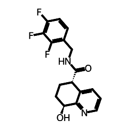 O=C(NCc1ccc(F)c(F)c1F)[C@H]1CC[C@H](O)c2ncccc21